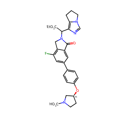 CCOC(=O)C(c1ncn2c1CCC2)N1Cc2c(F)cc(-c3ccc(O[C@H]4CCN(C(=O)O)C4)cc3)cc2C1=O